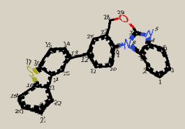 c1ccc2c(c1)nc1n2-c2ccc(-c3ccc4sc5ccccc5c4c3)cc2CO1